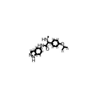 CNC(C(=O)Nc1ccc2[nH]ncc2c1)c1ccc(OC(C)C)cc1